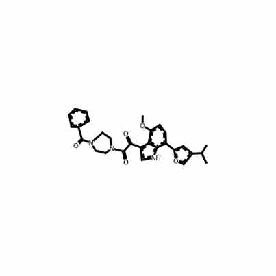 COc1ccc(-c2cc(C(C)C)co2)c2[nH]cc(C(=O)C(=O)N3CCN(C(=O)c4ccccc4)CC3)c12